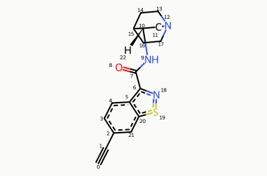 C#Cc1ccc2c(C(=O)N[C@H]3CN4CCC3CC4)nsc2c1